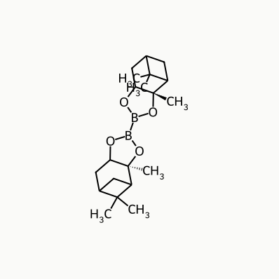 CC1(C)C2CC3OB(B4OC5CC6CC(C6(C)C)[C@]5(C)O4)O[C@@]3(C)C1C2